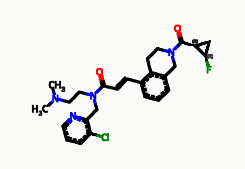 CN(C)CCN(Cc1ncccc1Cl)C(=O)C=Cc1cccc2c1CCN(C(=O)[C@H]1C[C@H]1F)C2